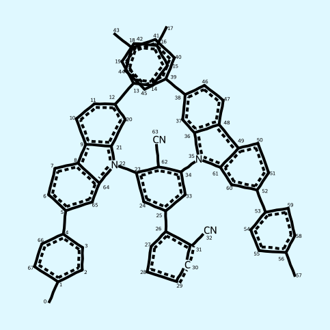 Cc1ccc(-c2ccc3c4ccc(-c5ccc(C)cc5)cc4n(-c4cc(-c5ccccc5C#N)cc(-n5c6cc(-c7ccc(C)cc7)ccc6c6ccc(-c7ccc(C)cc7)cc65)c4C#N)c3c2)cc1